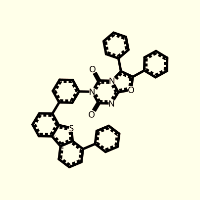 O=c1nc2oc(-c3ccccc3)c(-c3ccccc3)n2c(=O)n1-c1cccc(-c2cccc3c2sc2c(-c4ccccc4)cccc23)c1